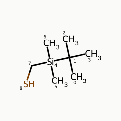 CC(C)(C)[Si](C)(C)CS